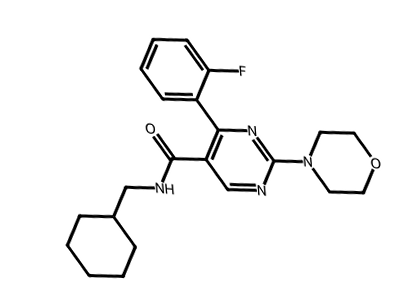 O=C(NCC1CCCCC1)c1cnc(N2CCOCC2)nc1-c1ccccc1F